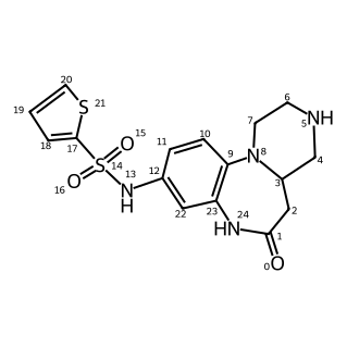 O=C1CC2CNCCN2c2ccc(NS(=O)(=O)c3cccs3)cc2N1